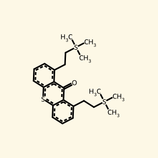 CS(C)(C)CCc1cccc2sc3cccc(CCS(C)(C)C)c3c(=O)c12